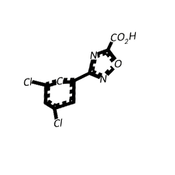 O=C(O)c1nc(-c2cc(Cl)cc(Cl)c2)no1